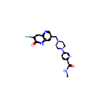 CNC(=O)c1ccc(N2CCN(Cc3cnc4cc(Br)c(=O)[nH]c4c3)CC2)cn1